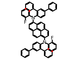 Fc1ccccc1N(c1ccc(-c2ccccc2)cc1-c1ccccc1)c1ccc2ccc3c(N(c4ccccc4F)c4ccc(-c5ccccc5)cc4-c4ccccc4)ccc4ccc1c2c43